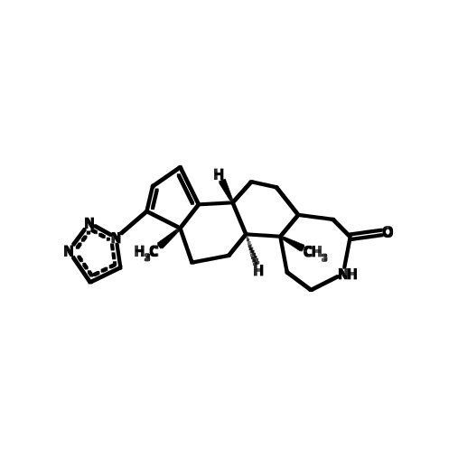 C[C@]12CC[C@H]3[C@@H](CCC4CC(=O)NCC[C@@]43C)C1=CC=C2n1ccnn1